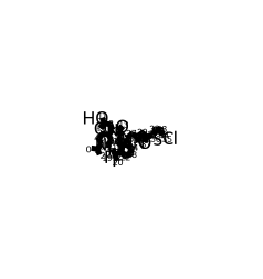 CC(C)N1CCC(N(CC(=O)O)C(=O)c2cc3c(C(F)(F)F)cccc3n2Cc2cc(-c3ccc(Cl)s3)on2)CC1